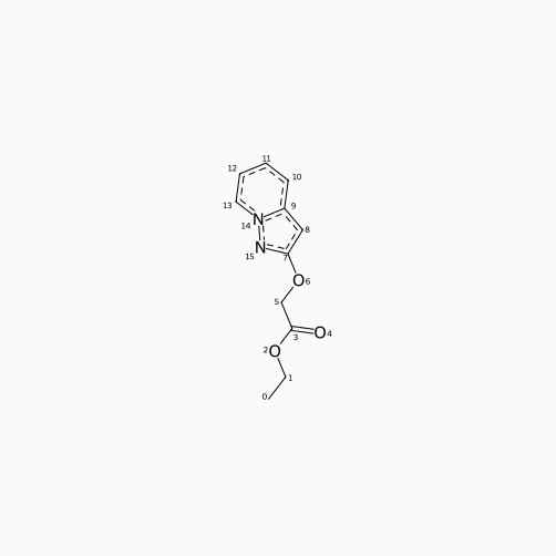 CCOC(=O)COc1cc2ccccn2n1